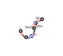 COc1cc(C=CC(=O)N2CCN(Cc3ccc(CCOc4ccc(F)cc4)cc3)CC2)cc(OC)c1Oc1ccc(OCc2ccccc2C#N)cn1